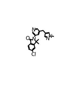 Cn1cc(Cc2cncc(N3C(=O)c4ccc(Cl)cc4C3(C)C)c2)cn1